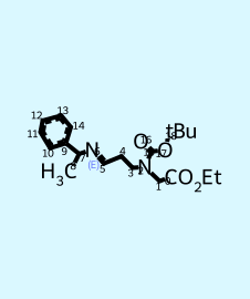 CCOC(=O)CN(CC/C=N/C(C)c1ccccc1)C(=O)OC(C)(C)C